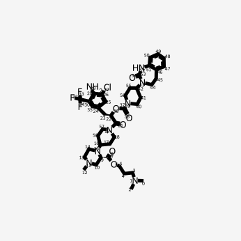 CN(C)CCCOC(=O)[C@@H]1CN(C)CCN1C1CCN(C(=O)[C@@H](Cc2cc(Cl)c(N)c(C(F)(F)F)c2)OC(=O)N2CCC(N3CCc4ccccc4NC3=O)CC2)CC1